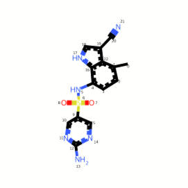 Cc1ccc(NS(=O)(=O)c2cnc(N)nc2)c2[nH]cc(C#N)c12